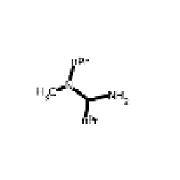 CCCC(N)N(C)CCC